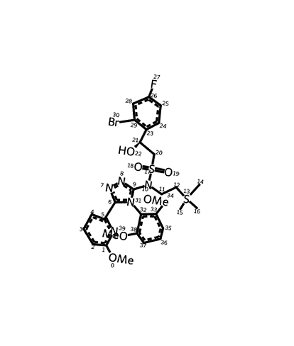 COc1cccc(-c2nnc(N(CCS(C)(C)C)S(=O)(=O)C[C@@H](O)c3ccc(F)cc3Br)n2-c2c(OC)cccc2OC)n1